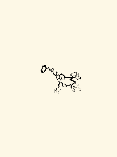 C=CC(CC)OCC(COCCc1ccccc1)OC(=O)/C=C\C(=O)C(C)(O)CCC